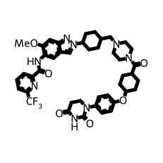 COc1cc2nn(C3CCC(CN4CCN(C(=O)C5CCC(Oc6ccc(N7CCC(=O)NC7=O)cc6)CC5)CC4)CC3)cc2cc1NC(=O)c1cccc(C(F)(F)F)n1